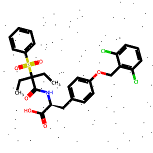 CCC(CC)(C(=O)N[C@@H](Cc1ccc(OCc2c(Cl)cccc2Cl)cc1)C(=O)O)S(=O)(=O)c1ccccc1